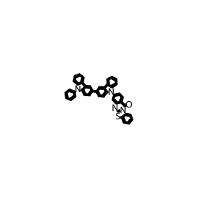 O=c1c2ccc(-n3c4ccccc4c4cc(-c5ccc6c(c5)c5ccccc5n6-c5ccccc5)ccc43)cc2nc2sc3ccccc3n12